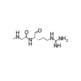 CNCC(=O)N[C@H](C=O)CCCNC(=N)N